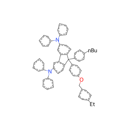 CCCCc1ccc(C2(c3ccc(OCc4ccc(CC)cc4)cc3)c3ccc(N(c4ccccc4)c4ccccc4)cc3-c3cc(N(c4ccccc4)c4ccccc4)ccc32)cc1